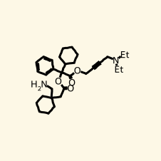 CCN(CC)CC#CCOC(=O)C(OC(=O)CC1(CN)CCCCC1)(c1ccccc1)C1CCCCC1